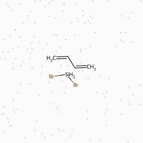 Br[SiH2]Br.C=CC=C